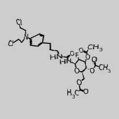 CC(=O)OC[C@H]1O[C@@H](NC(=O)NCCCc2ccc(N(CCCl)CCCl)cc2)[C@@H](F)[C@@H](OC(C)=O)[C@@H]1OC(C)=O